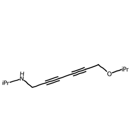 CC(C)NCC#CC#CCOC(C)C